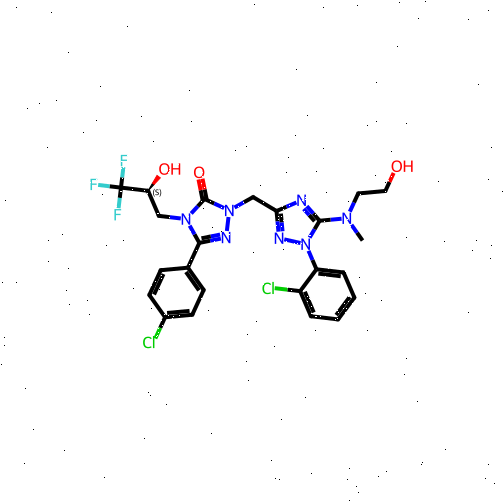 CN(CCO)c1nc(Cn2nc(-c3ccc(Cl)cc3)n(C[C@H](O)C(F)(F)F)c2=O)nn1-c1ccccc1Cl